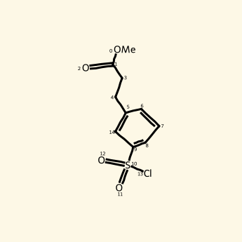 COC(=O)CCc1cccc(S(=O)(=O)Cl)c1